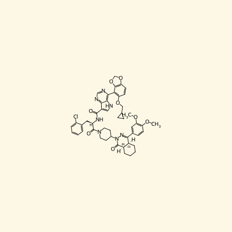 COc1ccc(C2=NN(C3CCN(C(=O)[C@@H](Cc4ccccc4Cl)NC(=O)c4c[nH]c5c(-c6c(OCC7CC7)ccc7c6OCO7)ncnc45)CC3)C(=O)[C@@H]3CCCC[C@H]23)cc1OC